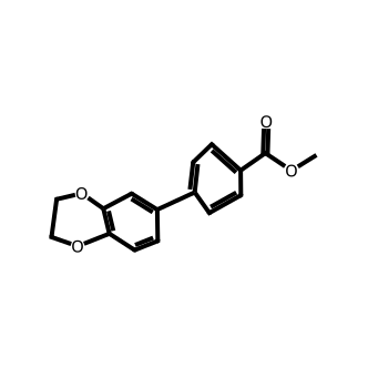 COC(=O)c1ccc(-c2ccc3c(c2)OCCO3)cc1